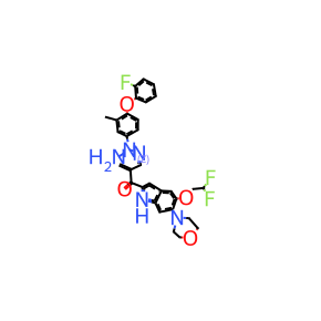 C=C(/C=N\N(N)c1ccc(Oc2ccccc2F)c(C)c1)C(=O)c1cc2cc(OCC(F)F)c(N3CCOCC3)cc2[nH]1